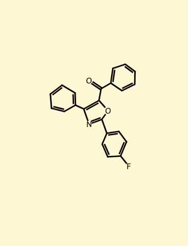 O=C(c1ccccc1)c1oc(-c2ccc(F)cc2)nc1-c1ccccc1